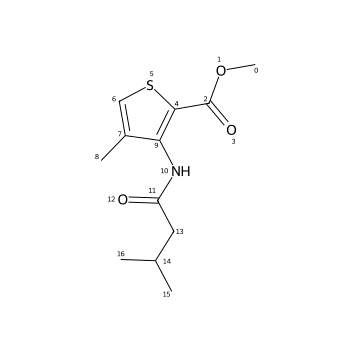 COC(=O)c1scc(C)c1NC(=O)CC(C)C